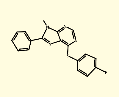 Cn1c(-c2ccccc2)nc2c(Sc3ccc(F)cc3)ncnc21